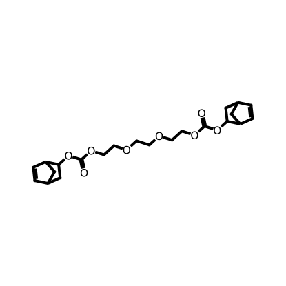 O=C(OCCOCCOCCOC(=O)OC1CC2C=CC1C2)OC1CC2C=CC1C2